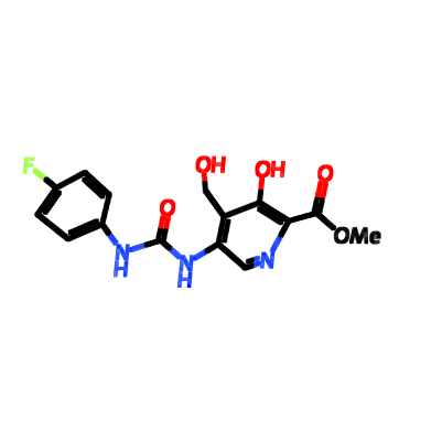 COC(=O)c1ncc(NC(=O)Nc2ccc(F)cc2)c(CO)c1O